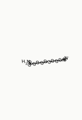 [N-]=[N+]=NCCOCCOCCOCCOCCOCCOCCOCCOCCC(=O)ON